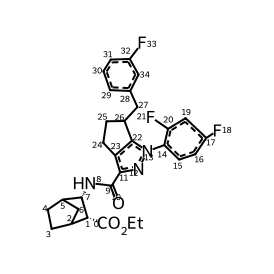 CCOC(=O)[C@@H]1C2CCC(C2)[C@@H]1NC(=O)c1nn(-c2ccc(F)cc2F)c2c1CCC2Cc1cccc(F)c1